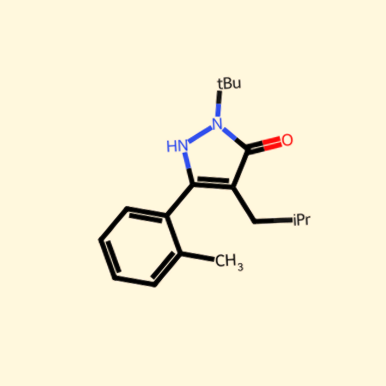 Cc1ccccc1-c1[nH]n(C(C)(C)C)c(=O)c1CC(C)C